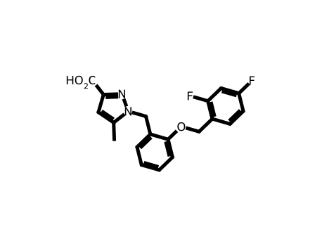 Cc1cc(C(=O)O)nn1Cc1ccccc1OCc1ccc(F)cc1F